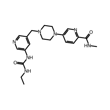 CCNC(=O)Nc1cncc(CN2CCN(c3ccc(C(=O)NC)nc3)CC2)c1